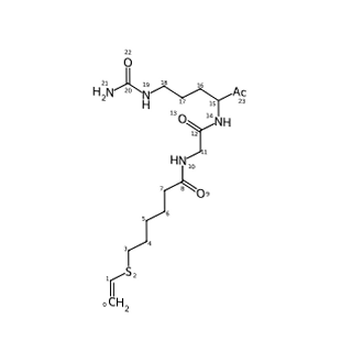 C=CSCCCCCC(=O)NCC(=O)NC(CCCNC(N)=O)C(C)=O